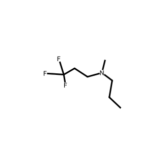 CCCN(C)CCC(F)(F)F